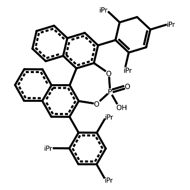 CC(C)C1=CC(C(C)C)=C(c2cc3ccccc3c3c2OP(=O)(O)Oc2c(-c4c(C(C)C)cc(C(C)C)cc4C(C)C)cc4ccccc4c2-3)C(C(C)C)C1